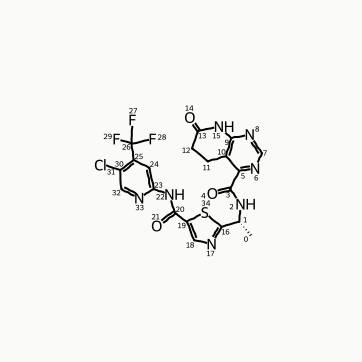 C[C@@H](NC(=O)c1ncnc2c1CCC(=O)N2)c1ncc(C(=O)Nc2cc(C(F)(F)F)c(Cl)cn2)s1